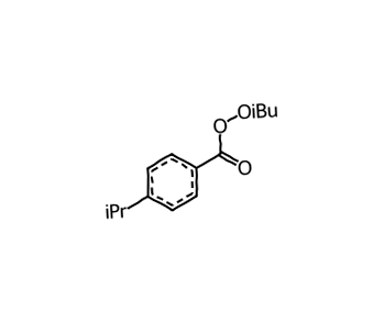 CC(C)[CH]OOC(=O)c1ccc(C(C)C)cc1